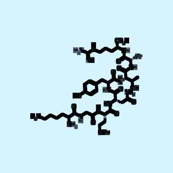 CSCC[C@H](NC(=O)CNC(=O)[C@@H](N)CCCCN)C(=O)N[C@@H](CC(N)=O)C(=O)N[C@@H](Cc1ccc(O)cc1)C(=O)N[C@H](C(=O)N[C@H](C(=O)N[C@@H](CCCNC(=N)N)C(=O)O)C(C)C)[C@@H](C)O